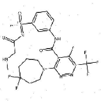 CNCC(=O)N=[S@@](C)(=O)c1cccc(NC(=O)c2c(N3CCCC(F)(F)CC3)nnc(C(F)(F)F)c2C)c1